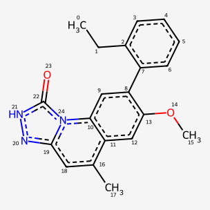 CCc1ccccc1-c1cc2c(cc1OC)c(C)cc1n[nH]c(=O)n12